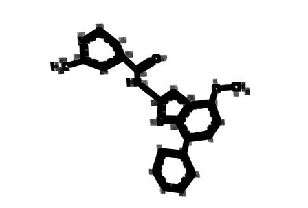 COc1ccc(-c2ccccc2)c2sc(NC(=O)c3ccnc(C)c3)cc12